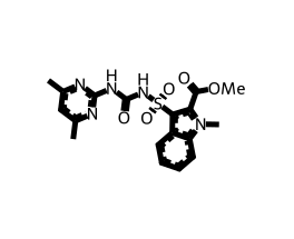 COC(=O)c1c(S(=O)(=O)NC(=O)Nc2nc(C)cc(C)n2)c2ccccc2n1C